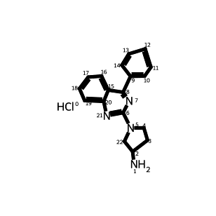 Cl.NC1CCN(c2nc(-c3ccccc3)c3ccccc3n2)C1